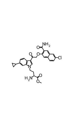 COC(=O)C(N)CCn1cc(C(=O)COc2cc3ccc(Cl)cc3cc2C(N)=O)c2ccc(C3CC3)cc21